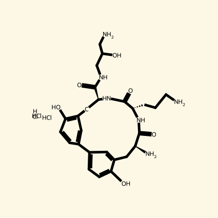 Cl.Cl.Cl.NCCC[C@@H]1NC(=O)[C@@H](N)Cc2cc(ccc2O)-c2ccc(O)c(c2)C[C@@H](C(=O)NCC(O)CN)NC1=O